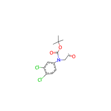 CC(C)(C)OC(=O)N(C[C]=O)c1ccc(Cl)c(Cl)c1